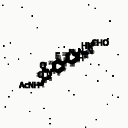 CC(=O)NCC1CN(c2ccc(-c3ccc(N/C=N\NC=O)nc3)c(F)c2)C(=O)O1